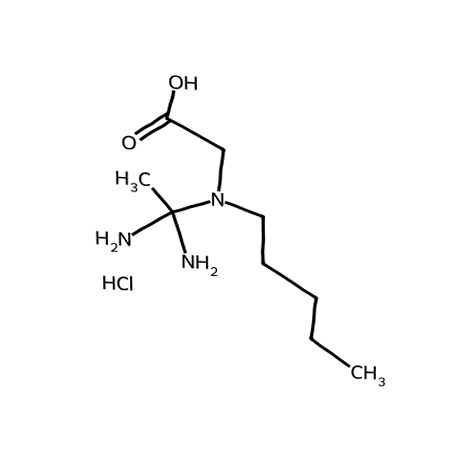 CCCCCN(CC(=O)O)C(C)(N)N.Cl